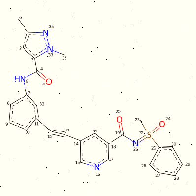 Cc1cc(C(=O)Nc2cccc(C#Cc3cncc(C(=O)N=S(C)(=O)c4ccccc4)c3)c2)n(C)n1